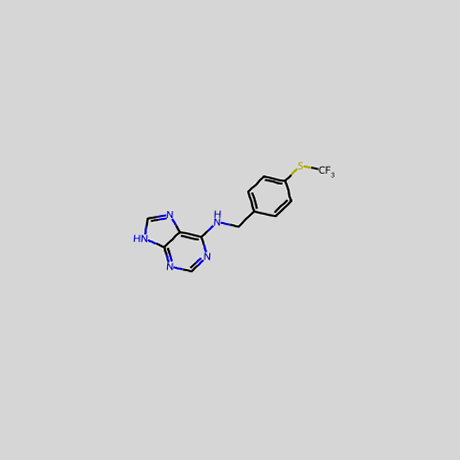 FC(F)(F)Sc1ccc(CNc2ncnc3[nH]cnc23)cc1